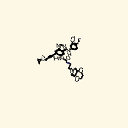 O=C(/C=C/CN1CC2OCCOC2C1)Nc1cc2c(Nc3ccc(F)c(Cl)c3)ncnc2cc1C#CCOC1CC1